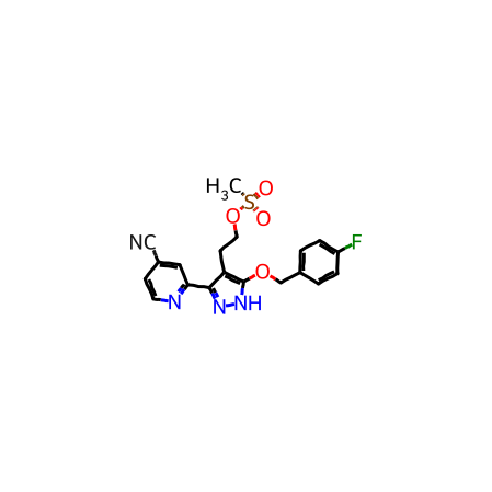 CS(=O)(=O)OCCc1c(-c2cc(C#N)ccn2)n[nH]c1OCc1ccc(F)cc1